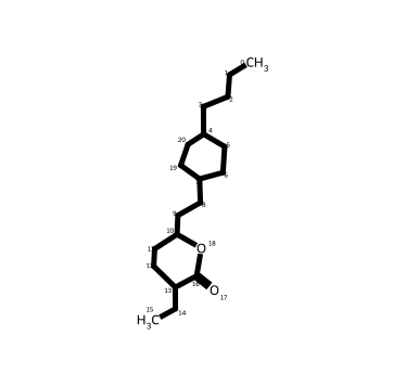 CCCCC1CCC(CCC2CCC(CC)C(=O)O2)CC1